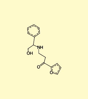 O=C(CCNC(CO)c1ccccc1)c1ccco1